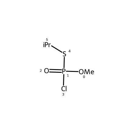 COP(=O)(Cl)SC(C)C